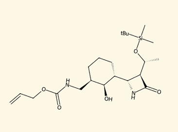 C=CCOC(=O)NC[C@H]1CCC[C@H]([C@H]2NC(=O)[C@@H]2[C@@H](C)O[Si](C)(C)C(C)(C)C)[C@H]1O